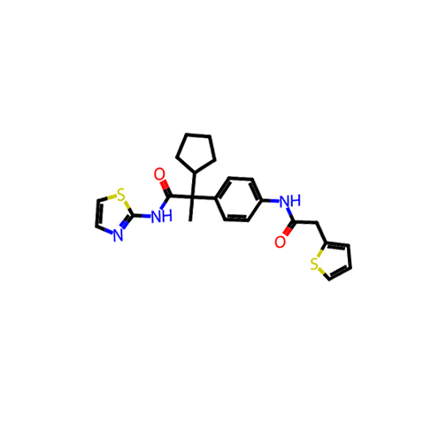 CC(C(=O)Nc1nccs1)(c1ccc(NC(=O)Cc2cccs2)cc1)C1CCCC1